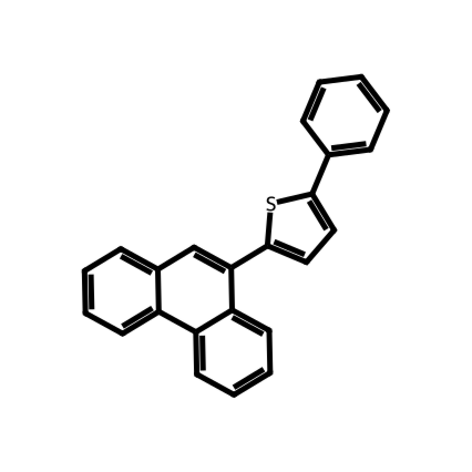 c1ccc(-c2ccc(-c3cc4ccccc4c4ccccc34)s2)cc1